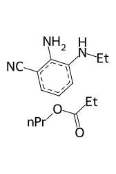 CCCOC(=O)CC.CCNc1cccc(C#N)c1N